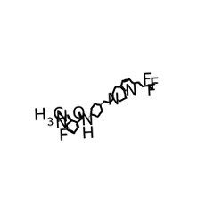 Cn1cc2c(C(=O)N[C@H]3CC[C@H](CCN4CCc5ccc(CCC(F)(F)F)nc5CC4)CC3)ccc(F)c2n1